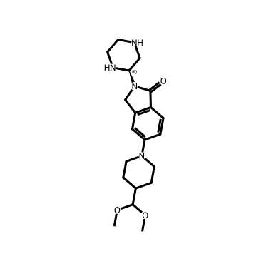 COC(OC)C1CCN(c2ccc3c(c2)CN([C@@H]2CNCCN2)C3=O)CC1